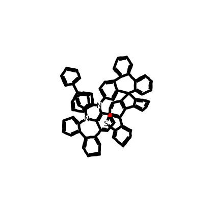 c1ccc(-c2cccc(N(c3ccc4c(c3)C3(c5ccccc5-c5ccccc5-4)c4ccccc4-c4c3ccc3sc5ccccc5c43)c3cccc4c3N(c3ccccc3)c3ccccc3-c3ccccc3-4)c2)cc1